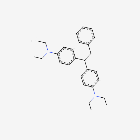 CCN(CC)c1ccc(C(Cc2ccccc2)c2ccc(N(CC)CC)cc2)cc1